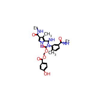 CCNC(=O)c1ccc(C)c(N(C(=N)c2[nH]cc(C(=O)NCC)c2C)C(=O)OCOC(=O)c2ccc(O)cc2)c1